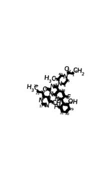 C=CC(=O)N1CCN(c2nc(=O)n(-c3c(C)ncnc3CCC)c3nc(-c4c(O)cccc4F)c(F)cc23)[C@@H](C)C1